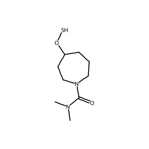 CN(C)C(=O)N1CCCC(OS)CC1